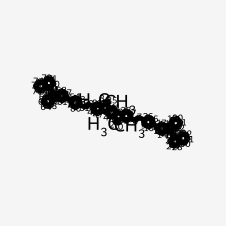 CC1(C)c2cc(/C=C/c3ccc(-c4ccc5c(c4)c4ccccc4n5-c4cccc5ccccc45)cc3)ccc2-c2cc3c(cc21)-c1ccc(/C=C/c2ccc(-c4ccc5c(c4)c4ccccc4n5-c4cccc5ccccc45)cc2)cc1C3(C)C